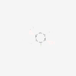 CC(C)Oc1cc(C(C)C)c(O)c(F)c1CC(F)(F)F